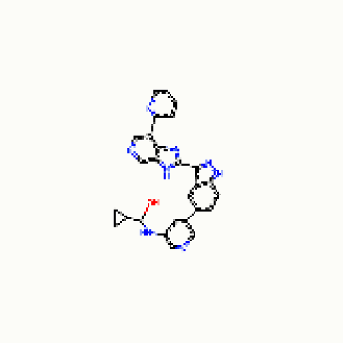 OC(Nc1cncc(-c2ccc3[nH]nc(-c4nc5c(-c6ccccn6)cncc5[nH]4)c3c2)c1)C1CC1